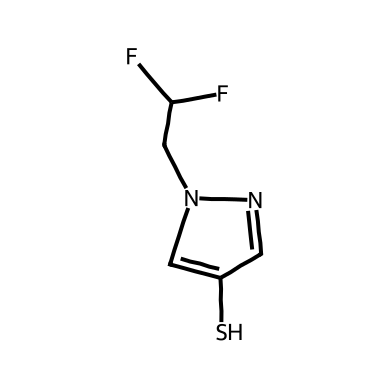 FC(F)Cn1cc(S)cn1